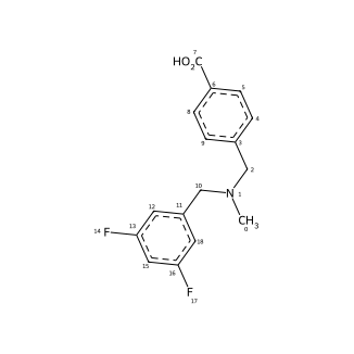 CN(Cc1ccc(C(=O)O)cc1)Cc1cc(F)cc(F)c1